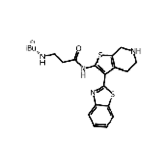 CC[C@@H](C)NCCC(=O)Nc1sc2c(c1-c1nc3ccccc3s1)CCNC2